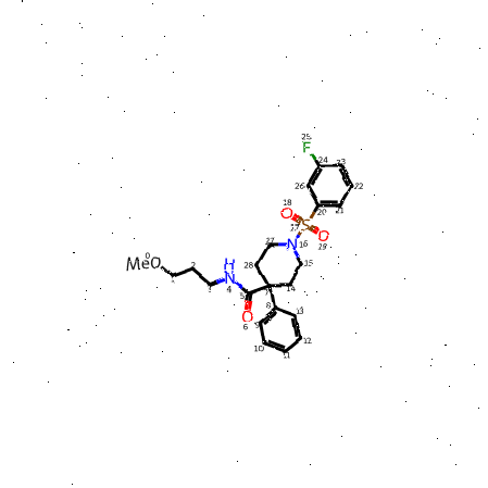 COCCCNC(=O)C1(c2ccccc2)CCN(S(=O)(=O)c2cccc(F)c2)CC1